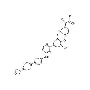 CC(C)[C@H](O)C(=O)N1CC[C@H](Oc2ccc(-c3nccc(Nc4ccc(N5CCN(C6COC6)CC5)cc4)n3)cc2C#N)[C@H](F)C1